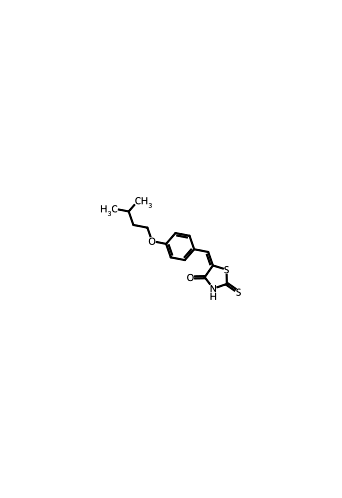 CC(C)CCOc1ccc(C=C2SC(=S)NC2=O)cc1